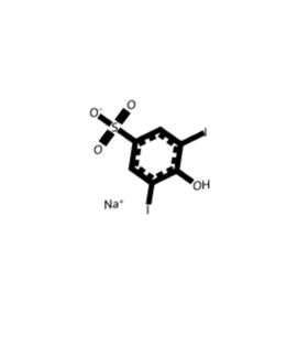 O=S(=O)([O-])c1cc(I)c(O)c(I)c1.[Na+]